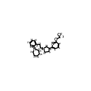 FC(F)(F)COc1cccc(C2CCN(CCc3cccnc3N3CCCCC3)C2)n1